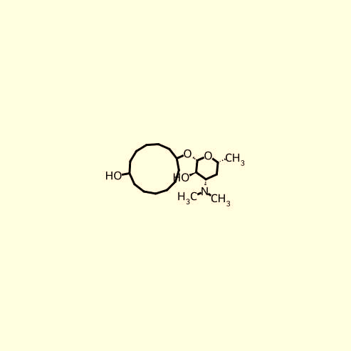 C[C@@H]1C[C@H](N(C)C)[C@@H](O)[C@H](OC2CCCCCCC(O)CCCCC2)O1